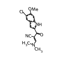 COc1cc2[nH]c(C(=O)/C(C#N)=C/N(C)C)cc2cc1Cl